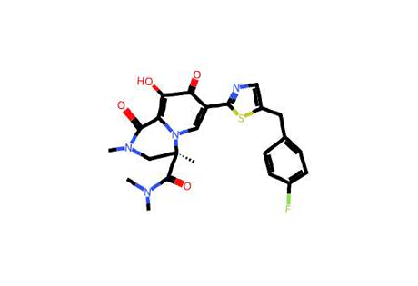 CN(C)C(=O)[C@@]1(C)CN(C)C(=O)c2c(O)c(=O)c(-c3ncc(Cc4ccc(F)cc4)s3)cn21